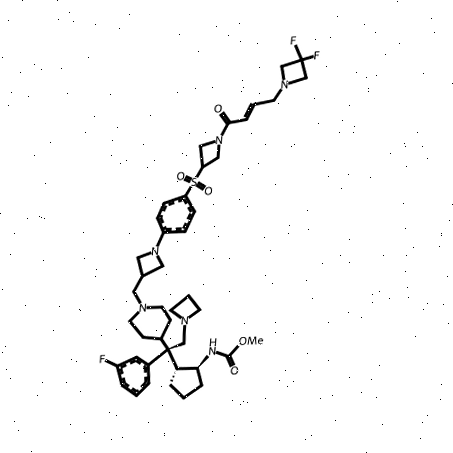 COC(=O)N[C@H]1CCC[C@@H]1[C@](CN1CCC1)(c1cccc(F)c1)C1CCN(CC2CN(c3ccc(S(=O)(=O)C4CN(C(=O)/C=C/CN5CC(F)(F)C5)C4)cc3)C2)CC1